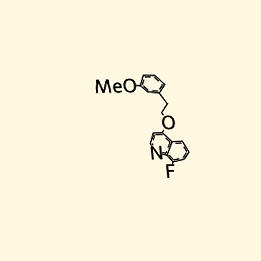 COc1cccc(CCOc2ccnc3c(F)cccc23)c1